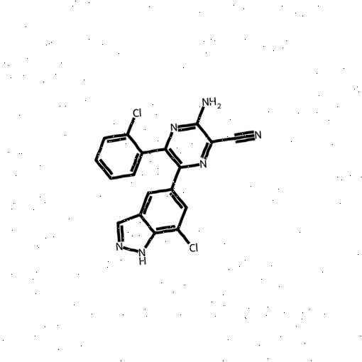 N#Cc1nc(-c2cc(Cl)c3[nH]ncc3c2)c(-c2ccccc2Cl)nc1N